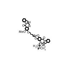 COc1cc2c(cc1OCCCCCOc1cc3c(cc1OC)C(=O)N1c4ccccc4C[C@H]1CN3CC(C)(C)S(C)=S)N=C[C@@H]1Cc3ccccc3N1C2=O